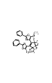 COc1oc(-c2ccccc2)nc1C1=C(c2nc(-c3ccccc3)oc2OC)C(F)(F)C(F)(F)C1(F)F